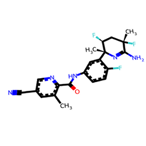 Cc1cc(C#N)cnc1C(=O)Nc1ccc(F)c([C@@]2(C)N=C(N)[C@@](C)(F)C[C@@H]2F)c1